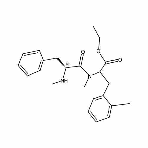 CCOC(=O)C(Cc1ccccc1C)N(C)C(=O)[C@H](Cc1ccccc1)NC